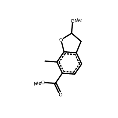 COC(=O)c1ccc2c(c1C)OC(OC)C2